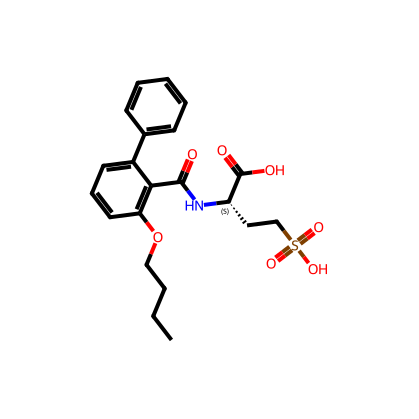 CCCCOc1cccc(-c2ccccc2)c1C(=O)N[C@@H](CCS(=O)(=O)O)C(=O)O